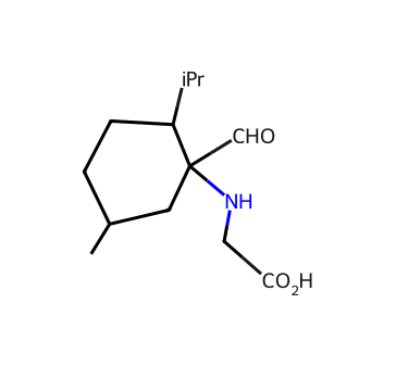 CC1CCC(C(C)C)C(C=O)(NCC(=O)O)C1